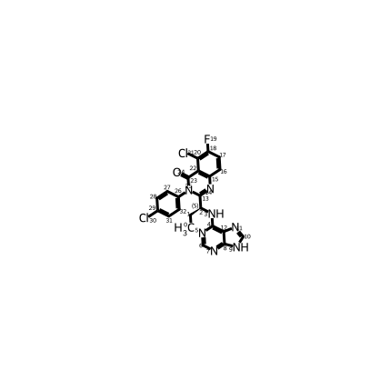 CC[C@H](Nc1ncnc2[nH]cnc12)c1nc2ccc(F)c(Cl)c2c(=O)n1-c1ccc(Cl)cc1